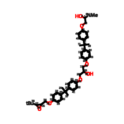 CNC(O)COc1ccc(C(C)(C)c2ccc(OCC(O)COc3ccc(C(C)(C)c4ccc(OCC5OC5C(C)(C)C)cc4)cc3)cc2)cc1